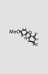 COc1ccc(Oc2c(I)cc(C(C)=O)cc2I)cc1